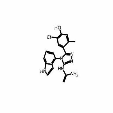 C=C(N)Nc1nnc(-c2cc(CC)c(O)cc2C)n1-c1cccc2[nH]ccc12